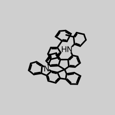 CC1=CCCC=C1Nc1cccc2c1-c1ccccc1C21c2ccccc2-c2ccc3c4ccccc4n(-c4ccc(-c5ccccc5)cc4)c3c21